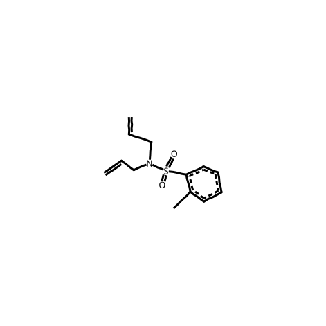 C=CCN(CC=C)S(=O)(=O)c1ccccc1C